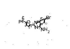 Nc1nc(-c2ccc(C(F)F)o2)nc2sc(Br)cc12